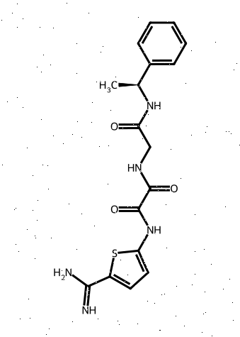 C[C@H](NC(=O)CNC(=O)C(=O)Nc1ccc(C(=N)N)s1)c1ccccc1